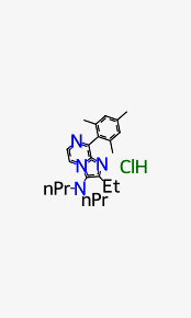 CCCN(CCC)c1c(CC)nc2c(-c3c(C)cc(C)cc3C)nccn12.Cl